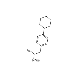 CN[C@@H](Cc1ccc(C2CCCCC2)cc1)C(C)=O